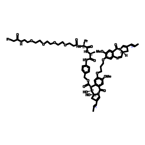 C/C=C/C1=CN2C(=O)c3cc(OC)c(OCCCOc4cc5c(cc4OC)C(=O)N4C=C(/C=C/C)C[C@@]4(O)[C@H](O)N5C(=O)OCc4ccc(NC(=O)[C@H](C)NC(=O)[C@@H](NC(=O)CCOCCOCCOCCOCCNC(=O)CC(C)C)C(C)C)cc4)cc3N=C[C@@H]2C1